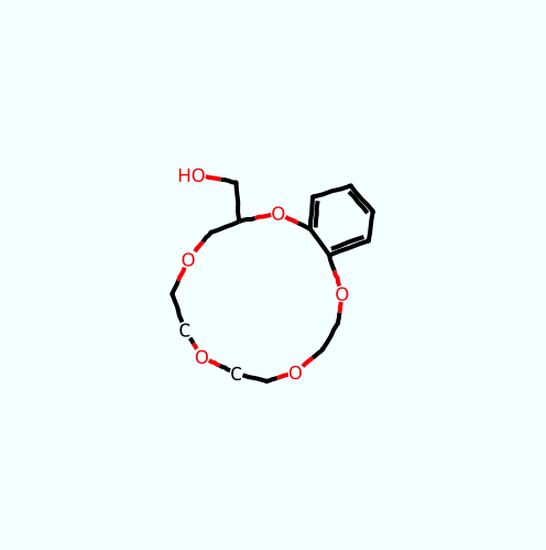 OCC1COCCOCCOCCOc2ccccc2O1